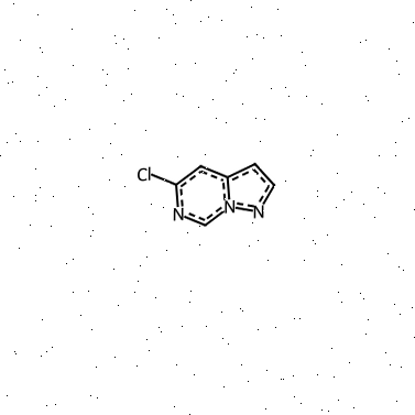 Clc1cc2ccnn2cn1